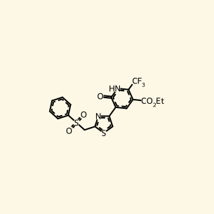 CCOC(=O)c1cc(-c2csc(CS(=O)(=O)c3ccccc3)n2)c(=O)[nH]c1C(F)(F)F